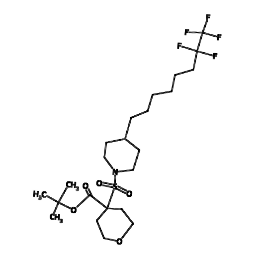 CC(C)(C)OC(=O)C1(S(=O)(=O)N2CCC(CCCCCCC(F)(F)C(F)(F)F)CC2)CCOCC1